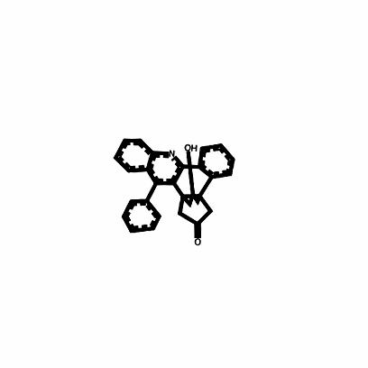 O=C1CC23CC(O)CC2(C1)c1c(nc2ccccc2c1-c1ccccc1)-c1ccccc13